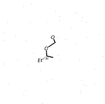 CC[C@@H](C)OC[O]